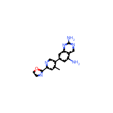 Cc1cc(-c2ncco2)ncc1-c1cc(N)c2cnc(N)nc2c1